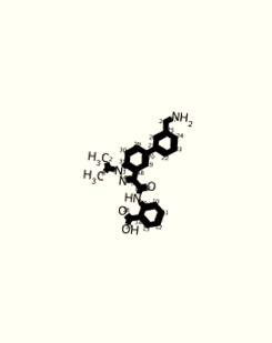 CC(C)n1nc(C(=O)Nc2ccccc2C(=O)O)c2cc(-c3cccc(CN)c3)ccc21